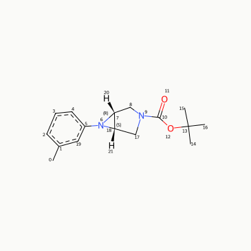 Cc1cccc(N2[C@@H]3CN(C(=O)OC(C)(C)C)C[C@@H]32)c1